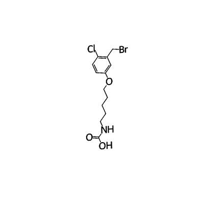 O=C(O)NCCCCCOc1ccc(Cl)c(CBr)c1